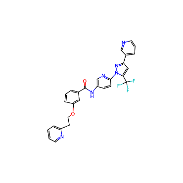 O=C(Nc1ccc(-n2nc(-c3cccnc3)cc2C(F)(F)F)nc1)c1cccc(OCCc2ccccn2)c1